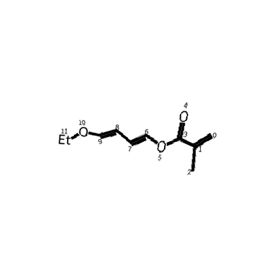 C=C(C)C(=O)OC=CC=COCC